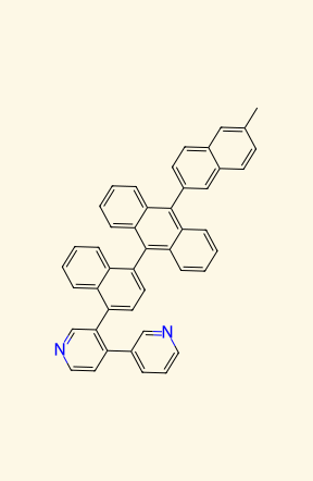 Cc1ccc2cc(-c3c4ccccc4c(-c4ccc(-c5cnccc5-c5cccnc5)c5ccccc45)c4ccccc34)ccc2c1